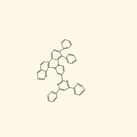 C1=CC(c2nc(-c3ccccc3)cc(-c3ccccc3)n2)=CN2B1c1c(ccc(-c3ccccc3)c1-c1ccccc1)-c1ccc3cccnc3c12